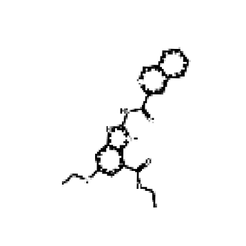 CCOC(=O)c1cc(SCC)cc2nc(NC(=O)c3cc4ccccc4cn3)[nH]c12